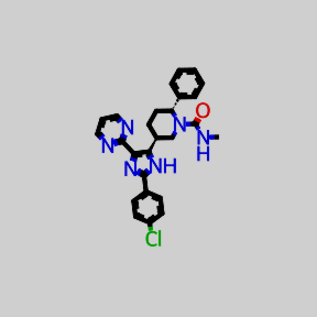 CNC(=O)N1C[C@@H](c2[nH]c(-c3ccc(Cl)cc3)nc2-c2ncccn2)CC[C@@H]1c1ccccc1